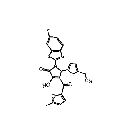 Cc1ccc(C(=O)C2=C(O)C(=O)N(c3nc4ccc(F)cc4s3)C2c2ccc(CO)o2)o1